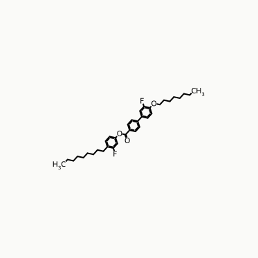 CCCCCCCCCc1ccc(OC(=O)c2ccc(-c3ccc(OCCCCCCCC)c(F)c3)cc2)cc1F